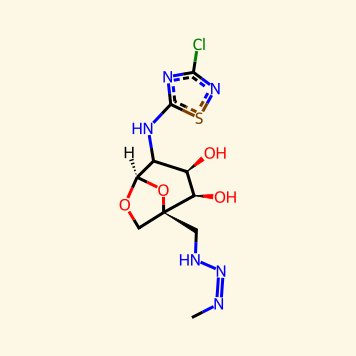 C/N=N\NC[C@@]12CO[C@H](O1)C(Nc1nc(Cl)ns1)[C@@H](O)[C@H]2O